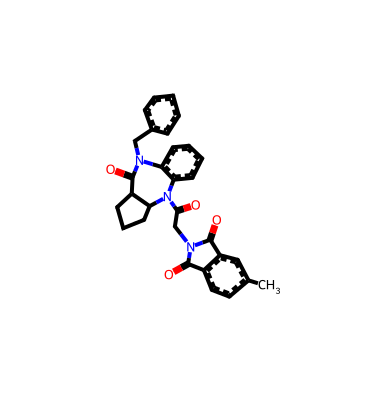 Cc1ccc2c(c1)C(=O)N(CC(=O)N1c3ccccc3N(Cc3ccccc3)C(=O)C3CCCC31)C2=O